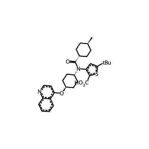 CC(C)(C)c1cc(N(C(=O)[C@H]2CC[C@H](C)CC2)[C@H]2CC[C@H](Oc3ccnc4ccccc34)CC2)c(C(=O)O)s1